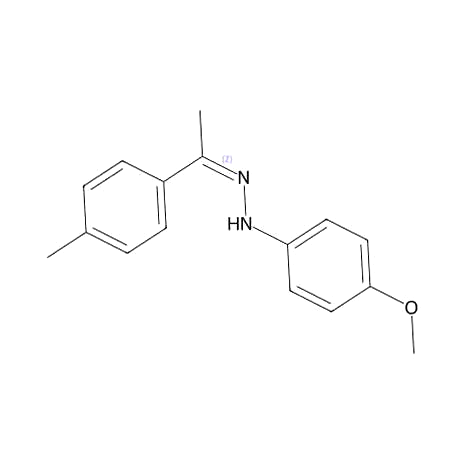 COc1ccc(N/N=C(/C)c2ccc(C)cc2)cc1